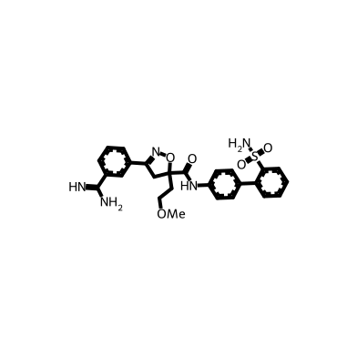 COCCC1(C(=O)Nc2ccc(-c3ccccc3S(N)(=O)=O)cc2)CC(c2cccc(C(=N)N)c2)=NO1